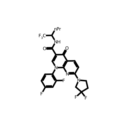 CCCC(NC(=O)c1cn(-c2ccc(F)cc2F)c2nc(N3CCC(F)(F)C3)ccc2c1=O)C(F)(F)F